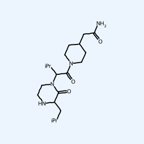 CC(C)CC1NCCN(C(C(=O)N2CCC(CC(N)=O)CC2)C(C)C)C1=O